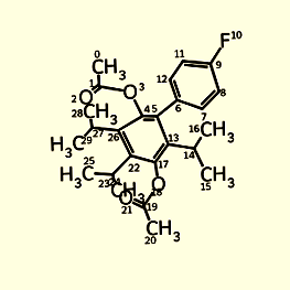 CC(=O)Oc1c(-c2ccc(F)cc2)c(C(C)C)c(OC(C)=O)c(C(C)C)c1C(C)C